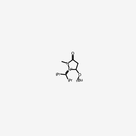 CCCCOC1CC(=O)N(C)[N+]1=C(C(C)C)C(C)C